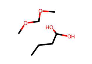 CCCC(O)O.COCOC